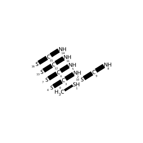 CS.N=C=S.N=C=S.N=C=S.N=C=S.N=C=S